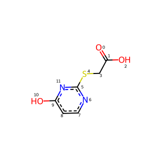 O=C(O)CSc1nccc(O)n1